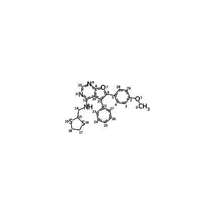 COc1ccc(-c2oc3ncnc(NCC4SCCS4)c3c2-c2ccccc2)cc1